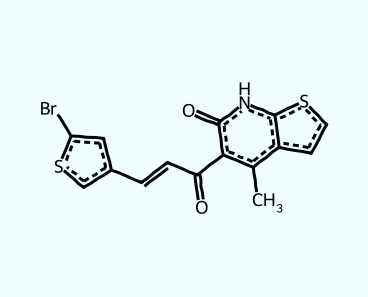 Cc1c(C(=O)/C=C/c2csc(Br)c2)c(=O)[nH]c2sccc12